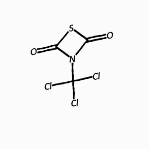 O=C1SC(=O)N1C(Cl)(Cl)Cl